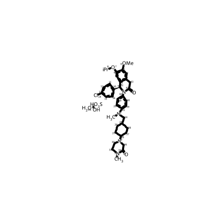 COc1cc2c(cc1OC(C)C)[C@H](c1ccc(Cl)cc1)N(c1ccc(N(C)CC3CCC(N4CCN(C)C(=O)C4)CC3)cc1)C(=O)C2.O.O=S(=O)(O)O